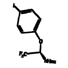 CCCCCC[C@H](Oc1ccc(I)cc1)C(F)(F)F